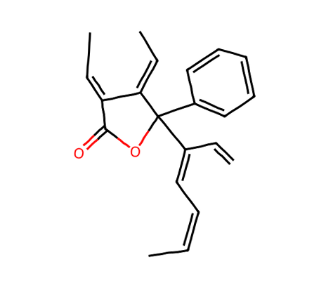 C=C/C(=C\C=C/C)C1(c2ccccc2)OC(=O)C(=C/C)/C1=C\C